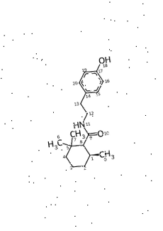 C[C@H]1CCCC(C)(C)C1C(=O)NCCc1ccc(O)cc1